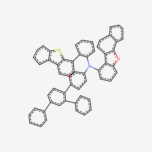 c1ccc(-c2ccc(-c3ccc(N(c4ccccc4-c4cccc5c4sc4ccccc45)c4cccc5oc6c7ccccc7ccc6c45)cc3)c(-c3ccccc3)c2)cc1